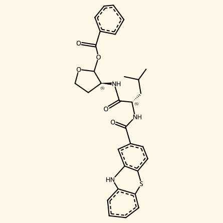 CC(C)C[C@H](NC(=O)c1ccc2c(c1)Nc1ccccc1S2)C(=O)N[C@H]1CCOC1OC(=O)c1ccccc1